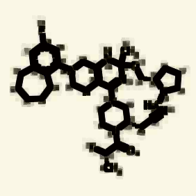 C[C@H](F)C(=O)N1CCN(C2=NC(C)(OC[C@@H]3CCCN3C)NC3=C2CCN(c2cc(F)cc4c2CCCCC4)C3)C[C@@H]1CC#N